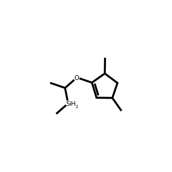 C[SiH2]C(C)OC1=CC(C)CC1C